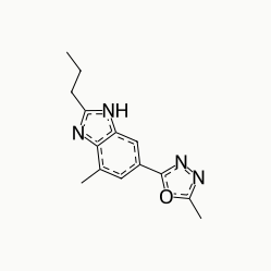 CCCc1nc2c(C)cc(-c3nnc(C)o3)cc2[nH]1